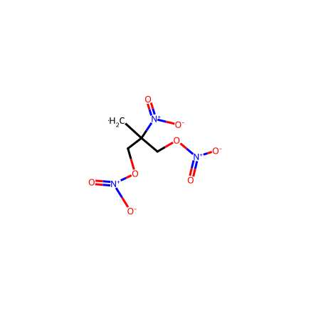 [CH2]C(CO[N+](=O)[O-])(CO[N+](=O)[O-])[N+](=O)[O-]